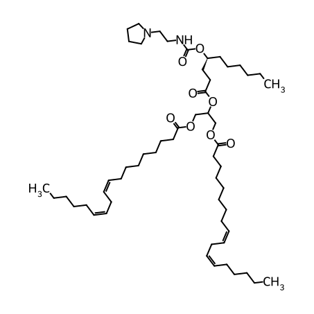 CCCCC/C=C\C/C=C\CCCCCCCC(=O)OCC(COC(=O)CCCCCCC/C=C\C/C=C\CCCCC)OC(=O)CC[C@H](CCCCCC)OC(=O)NCCN1CCCC1